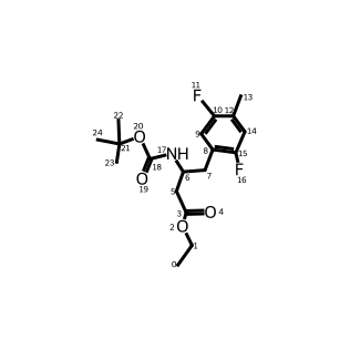 CCOC(=O)CC(Cc1cc(F)c(C)cc1F)NC(=O)OC(C)(C)C